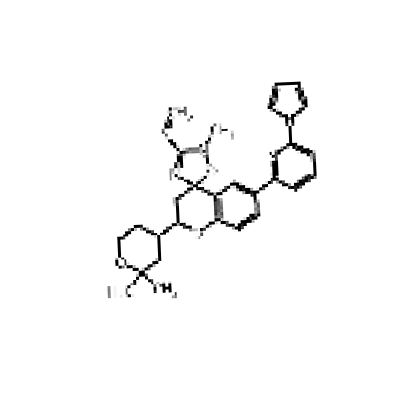 C=NC1=NC2(CC(C3CCOC(C)(C)C3)Oc3ccc(-c4cccc(-n5cccc5)n4)cc32)ON1C